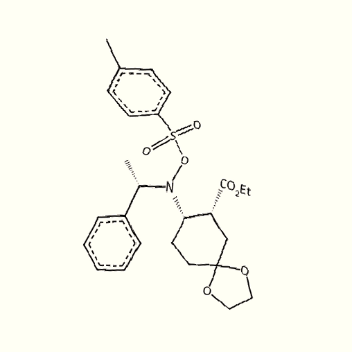 CCOC(=O)[C@@H]1CC2(CC[C@@H]1N(OS(=O)(=O)c1ccc(C)cc1)[C@@H](C)c1ccccc1)OCCO2